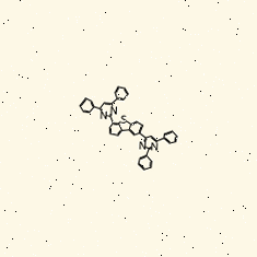 c1ccc(-c2cc(-c3ccc4sc5c(-c6nc(-c7ccccc7)cc(-c7ccccc7)n6)cccc5c4c3)nc(-c3ccccc3)n2)cc1